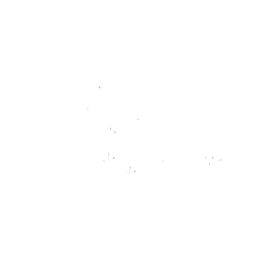 CSCO/N=N\N1CCCC1CO.O